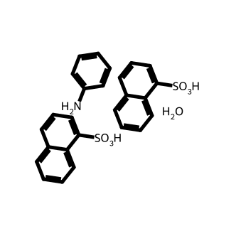 Nc1ccccc1.O.O=S(=O)(O)c1cccc2ccccc12.O=S(=O)(O)c1cccc2ccccc12